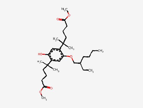 CCCCC(CC)COc1cc(C(C)(C)CCCC(=O)OC)c(O)cc1C(C)(C)CCCC(=O)OC